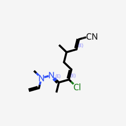 C=CN(C)/N=C(C)/C(Cl)=C\CC(C)/C=C/C#N